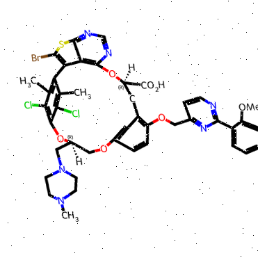 COc1ccccc1-c1nccc(COc2ccc3cc2C[C@H](C(=O)O)Oc2ncnc4sc(Br)c(c24)-c2c(C)c(Cl)c(c(Cl)c2C)O[C@H](CN2CCN(C)CC2)CO3)n1